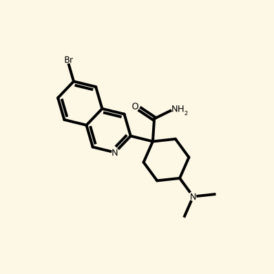 CN(C)C1CCC(C(N)=O)(c2cc3cc(Br)ccc3cn2)CC1